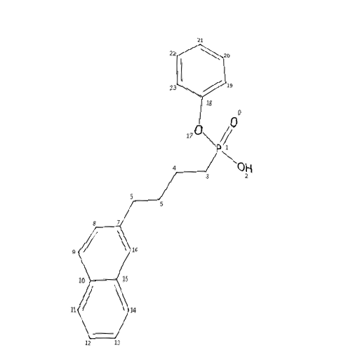 O=P(O)(CCCCc1ccc2ccccc2c1)Oc1ccccc1